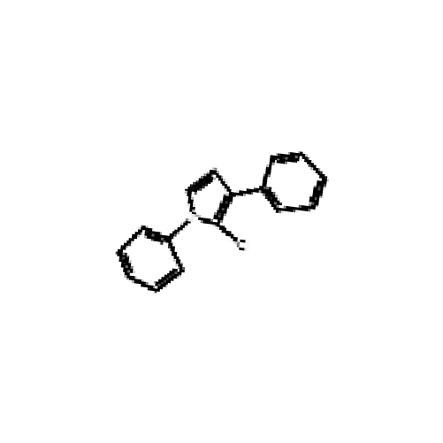 Clc1c(-c2ccccc2)ccp1-c1ccccc1